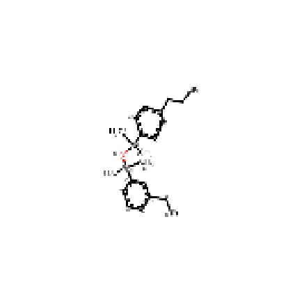 CC(C)CCc1ccc([Si](C)(C)O[Si](C)(C)c2cccc(CC(C)C)c2)cc1